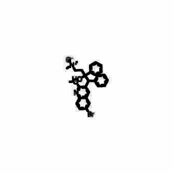 COc1nc2ccc(Br)cc2cc1C(c1ccccc1)C(O)(CC[N+](C)(C)[O-])c1ccccc1